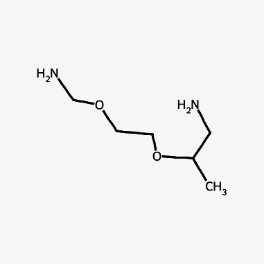 CC(CN)OCCOCN